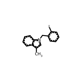 Cc1cn(Cc2ccccc2I)c2ccccc12